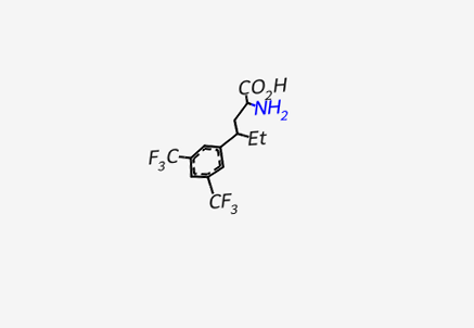 CCC(CC(N)C(=O)O)c1cc(C(F)(F)F)cc(C(F)(F)F)c1